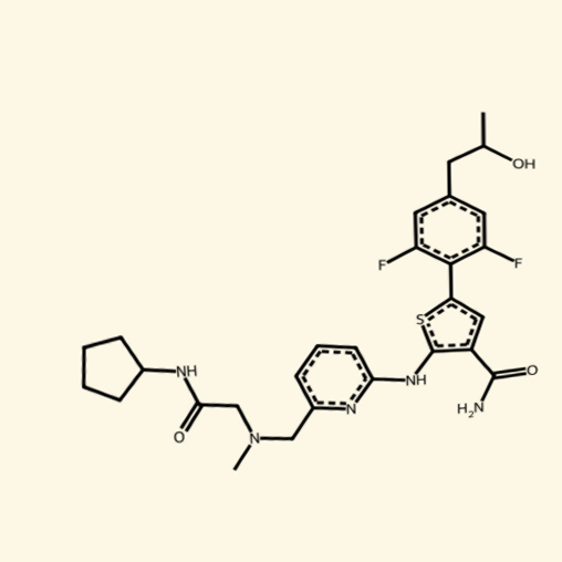 CC(O)Cc1cc(F)c(-c2cc(C(N)=O)c(Nc3cccc(CN(C)CC(=O)NC4CCCC4)n3)s2)c(F)c1